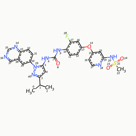 CC(C)c1cc(NC(=O)Nc2ccc(Oc3ccnc(NS(C)(=O)=O)c3)cc2F)n(-c2ccc3ncncc3c2)n1